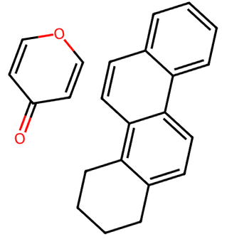 O=c1ccocc1.c1ccc2c(c1)ccc1c3c(ccc12)CCCC3